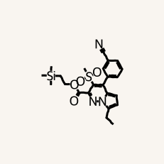 CCc1ccc2c(-c3cccc(C#N)c3)c(S(C)(=O)=O)c(C(=O)OCC[Si](C)(C)C)nn12